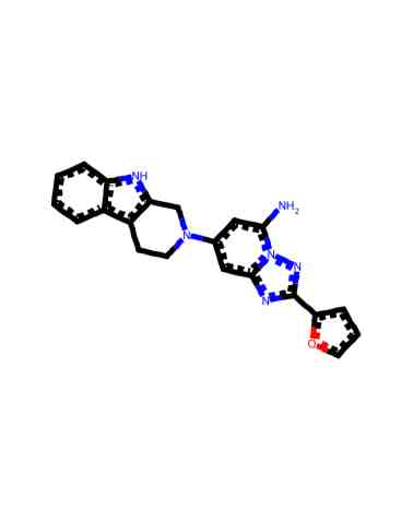 Nc1cc(N2CCc3c([nH]c4ccccc34)C2)cc2nc(-c3ccco3)nn12